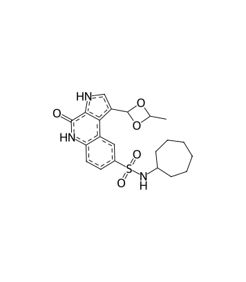 CC1OC(c2c[nH]c3c(=O)[nH]c4ccc(S(=O)(=O)NC5CCCCCC5)cc4c23)O1